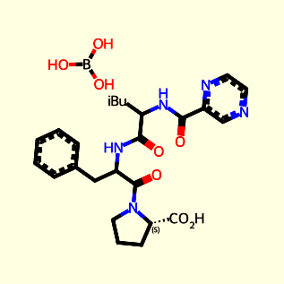 CCC(C)C(NC(=O)c1cnccn1)C(=O)NC(Cc1ccccc1)C(=O)N1CCC[C@H]1C(=O)O.OB(O)O